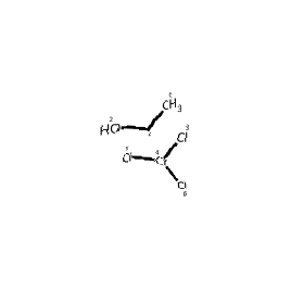 CCO.[Cl][Cr]([Cl])[Cl]